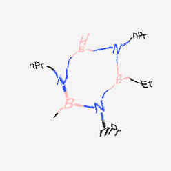 CCCN1BN(CCC)B(CC)N(CCC)B1C